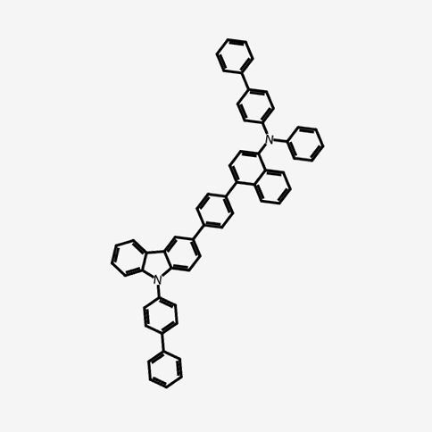 c1ccc(-c2ccc(N(c3ccccc3)c3ccc(-c4ccc(-c5ccc6c(c5)c5ccccc5n6-c5ccc(-c6ccccc6)cc5)cc4)c4ccccc34)cc2)cc1